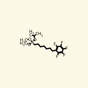 CO[Si](CCCCCCCc1c(F)c(F)c(F)c(F)c1F)(OC)OC(C)C